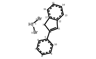 [Br][Hf][Br].[CH]1C(c2ccccc2)=Cc2ccccc21